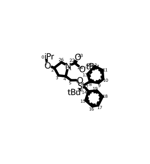 CC(C)OC1CC(CO[Si](c2ccccc2)(c2ccccc2)C(C)(C)C)N(C(=O)OC(C)(C)C)C1